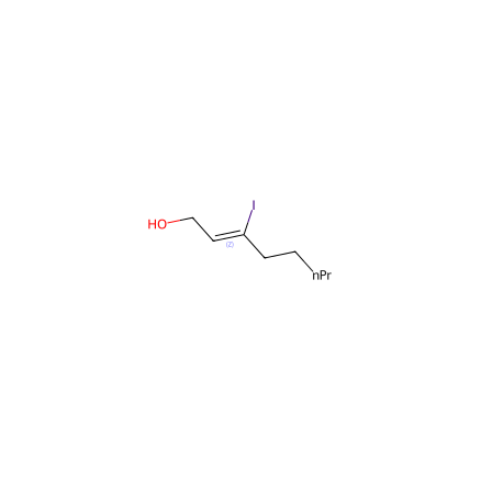 CCCCC/C(I)=C/CO